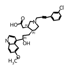 COc1ccc2nccc([C@H](O)CC[C@@H]3CCN(CC#Cc4cccc(Cl)c4)C[C@@H]3CC(=O)O)c2c1